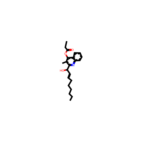 CCCCCCC=CC(O)c1nc2ccccc2c(OC(=O)CC)c1C